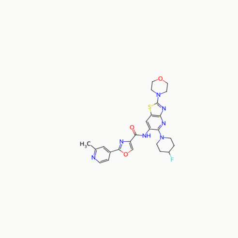 Cc1cc(-c2nc(C(=O)Nc3cc4sc(N5CCOCC5)nc4nc3N3CCC(F)CC3)co2)ccn1